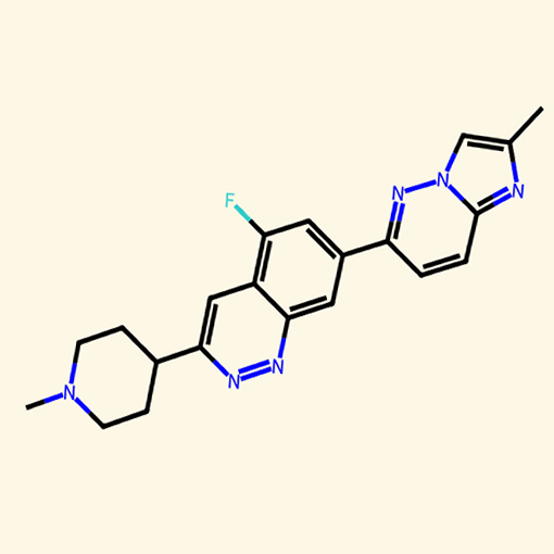 Cc1cn2nc(-c3cc(F)c4cc(C5CCN(C)CC5)nnc4c3)ccc2n1